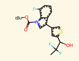 CC(C)(C)OC(=O)n1cc(-c2csc(C(O)C(C)(F)F)c2)c2cccc(F)c21